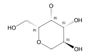 [O][C@@H]1[C@H](O)[C@@H](O)CO[C@@H]1CO